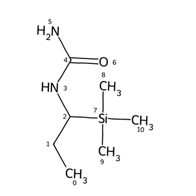 CCC(NC(N)=O)[Si](C)(C)C